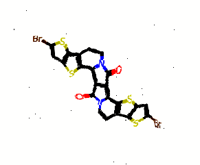 O=C1C2=C3c4sc5cc(Br)sc5c4C=CN3C(=O)C2=C2c3sc4cc(Br)sc4c3C=CN12